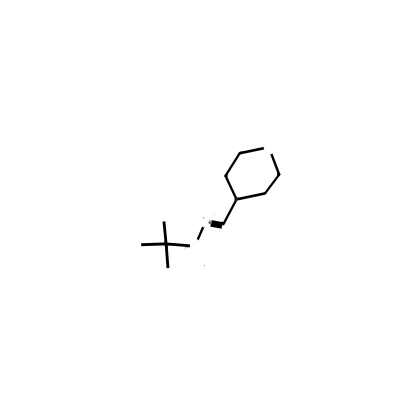 CC(C)(C)[S@@+]([O-])/N=C/C1CCSCC1